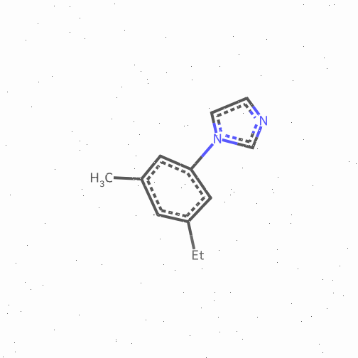 CCc1[c]c(C)cc(-n2ccnc2)c1